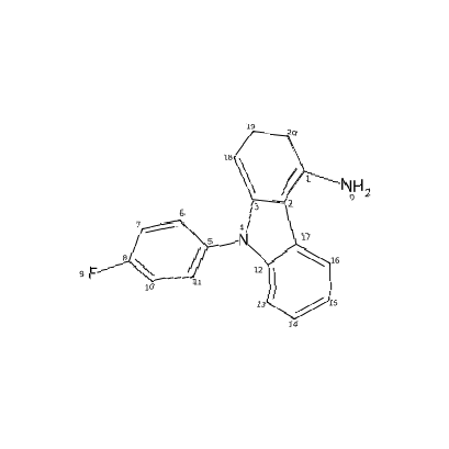 NC1=c2c(n(-c3ccc(F)cc3)c3ccccc23)=CCC1